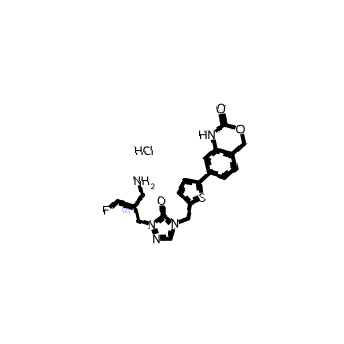 Cl.NC/C(=C/F)Cn1ncn(Cc2ccc(-c3ccc4c(c3)NC(=O)OC4)s2)c1=O